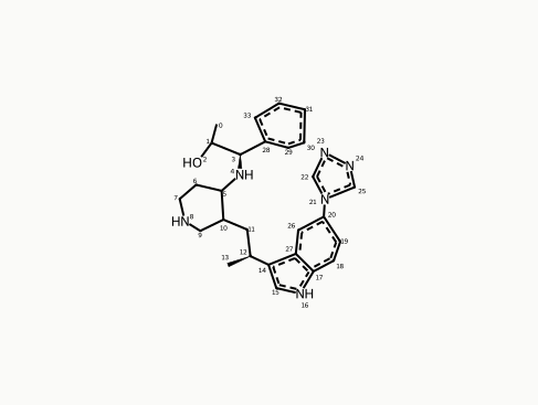 CC(O)[C@H](NC1CCNCC1C[C@H](C)c1c[nH]c2ccc(-n3cnnc3)cc12)c1ccccc1